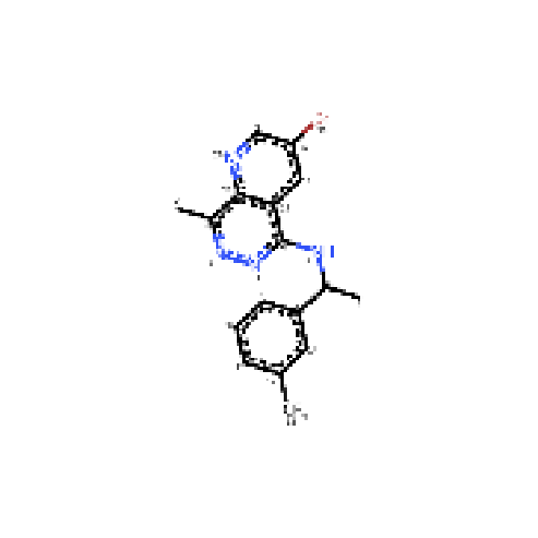 Cc1nnc(NC(C)c2cccc(C(F)(F)F)c2)c2cc(Br)cnc12